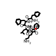 CC(C)CC(NC(=O)C(Cc1ccccc1)NC(=O)C(N)Cc1ccccc1)C(=O)NC(CCCCN)C(=O)N1CC2CC(C1)N2CC(=O)O